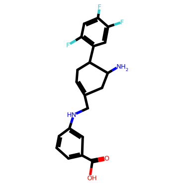 NC1CC(CNc2cccc(C(=O)O)c2)=CCC1c1cc(F)c(F)cc1F